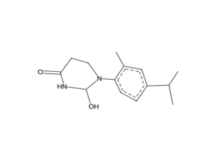 Cc1cc(C(C)C)ccc1N1CCC(=O)NC1O